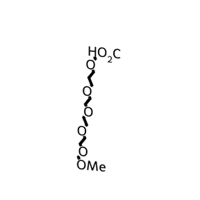 COCOCCOCCOCCOCCCOCC(=O)O